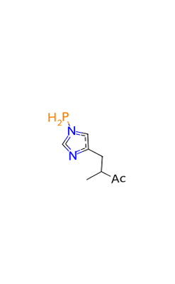 CC(=O)C(C)Cc1cn(P)cn1